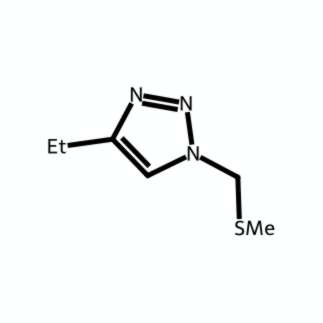 CCc1cn(CSC)nn1